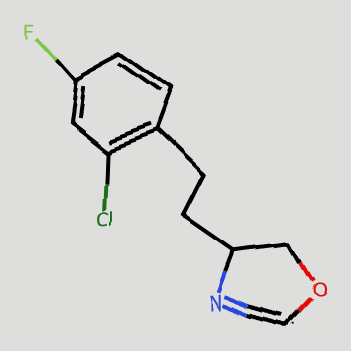 Fc1ccc(CCC2CO[C]=N2)c(Cl)c1